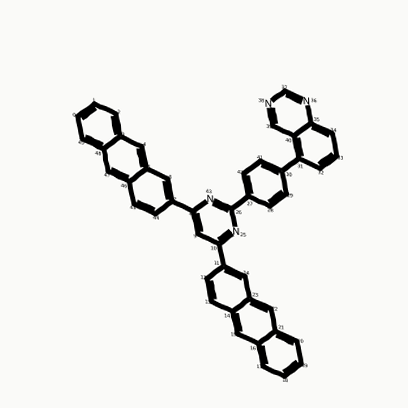 c1ccc2cc3cc(-c4cc(-c5ccc6cc7ccccc7cc6c5)nc(-c5ccc(-c6cccc7ncncc67)cc5)n4)ccc3cc2c1